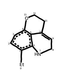 CCc1ccc2c3c1NCC=C3CCO2